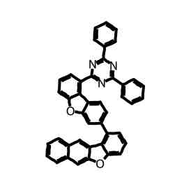 c1ccc(-c2nc(-c3ccccc3)nc(-c3cccc4oc5cc(-c6cccc7oc8cc9ccccc9cc8c67)ccc5c34)n2)cc1